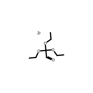 CCOC([C]=O)(OCC)OCC.[Zr]